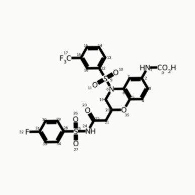 O=C(O)Nc1ccc2c(c1)N(S(=O)(=O)c1cccc(C(F)(F)F)c1)CC(CC(=O)NS(=O)(=O)c1ccc(F)cc1)O2